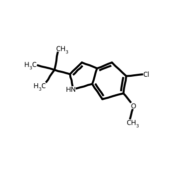 COc1cc2[nH]c(C(C)(C)C)cc2cc1Cl